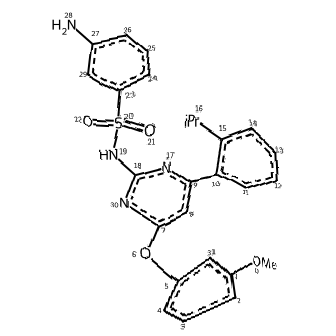 COc1cccc(Oc2cc(-c3ccccc3C(C)C)nc(NS(=O)(=O)c3cccc(N)c3)n2)c1